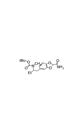 CCC(Cc1ccc2c(c1)OC(C(N)=O)O2)N(C)C(=O)OC(C)(C)C